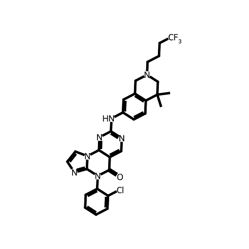 CC1(C)CN(CCCC(F)(F)F)Cc2cc(Nc3ncc4c(=O)n(-c5ccccc5Cl)c5nccn5c4n3)ccc21